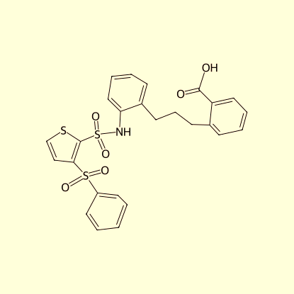 O=C(O)c1ccccc1CCCc1ccccc1NS(=O)(=O)c1sccc1S(=O)(=O)c1ccccc1